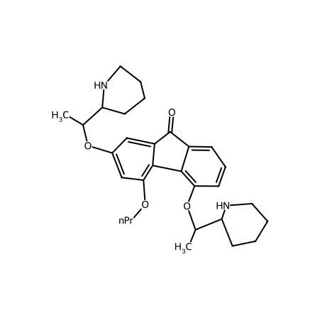 CCCOc1cc(OC(C)C2CCCCN2)cc2c1-c1c(OC(C)C3CCCCN3)cccc1C2=O